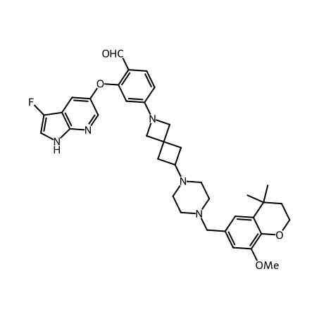 COc1cc(CN2CCN(C3CC4(C3)CN(c3ccc(C=O)c(Oc5cnc6[nH]cc(F)c6c5)c3)C4)CC2)cc2c1OCCC2(C)C